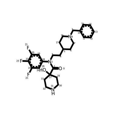 O=C(N(CCC1CCN(Cc2ccccc2)CC1)c1cc(F)c(F)c(F)c1)C1(O)CCNCC1